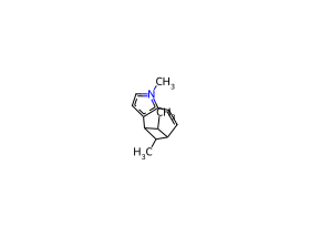 CC1C2C=Cc3c(ccn3C)C1C2C